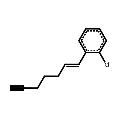 C#CCCCC=Cc1ccccc1Cl